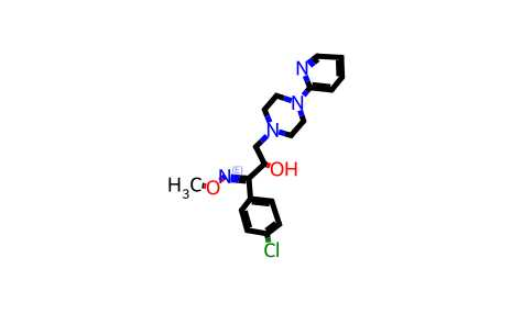 CO/N=C(\c1ccc(Cl)cc1)C(O)CN1CCN(c2ccccn2)CC1